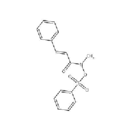 CN(OS(=O)(=O)c1ccccc1)C(=O)C=Cc1ccccc1